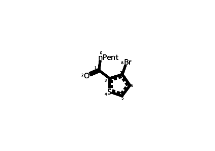 CCCCCC(=O)c1sccc1Br